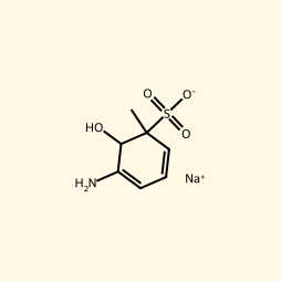 CC1(S(=O)(=O)[O-])C=CC=C(N)C1O.[Na+]